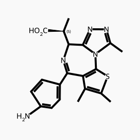 Cc1sc2c(c1C)C(c1ccc(N)cc1)=NC([C@H](C)C(=O)O)c1nnc(C)n1-2